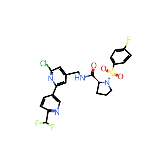 O=C(NCc1cc(Cl)nc(-c2ccc(C(F)F)nc2)c1)[C@@H]1CCCN1S(=O)(=O)c1ccc(F)cc1